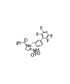 CC(C)C(=O)N1CC[C@@H](NS(C)(=O)=O)[C@H]1Cc1cccc(-c2c(F)c(F)cc(F)c2F)c1